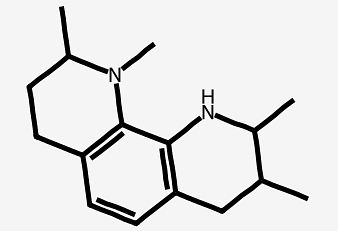 CC1Cc2ccc3c(c2NC1C)N(C)C(C)CC3